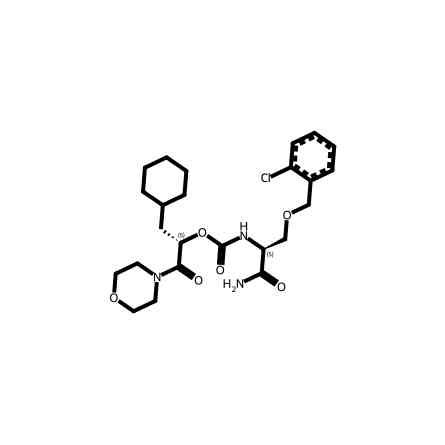 NC(=O)[C@H](COCc1ccccc1Cl)NC(=O)O[C@@H](CC1CCCCC1)C(=O)N1CCOCC1